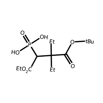 CCOC(=O)C(C(CC)(CC)C(=O)OC(C)(C)C)P(=O)(O)O